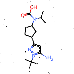 CC(C)N(C(=O)O)C1CCC(c2cc(N)n(C(C)(C)C)n2)C1